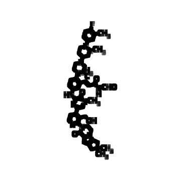 Cc1cc(N2CCC(N3CCN(c4ccc(Nc5nc(-c6ccnc(N7CCn8c(cc9c8CC(C)(C)C9)C7=O)c6CO)cn(C)c5=O)cc4C=CC(=O)NC=O)[C@@H](C)C3)C[C@@H]2C)ccc1F